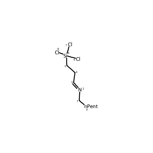 CCCCCCN=CCC[Si](Cl)(Cl)Cl